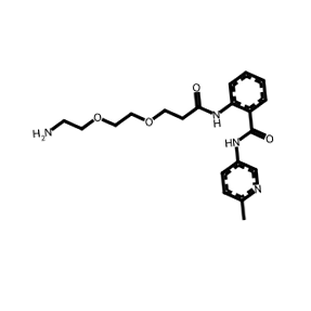 Cc1ccc(NC(=O)c2ccccc2NC(=O)CCOCCOCCN)cn1